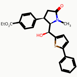 CCOC(=O)c1ccc([C@H]2CC(=O)N(C)[C@H]2[C@H](O)c2ccc(-c3ccccc3)s2)cc1